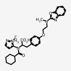 CN(CCOc1ccc(CC(C(=O)O)N(C(=O)C2CCCCC2)c2ccnn2C)cc1)c1nc2ccccc2o1